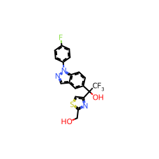 OCc1nc(C(O)(c2ccc3c(cnn3-c3ccc(F)cc3)c2)C(F)(F)F)cs1